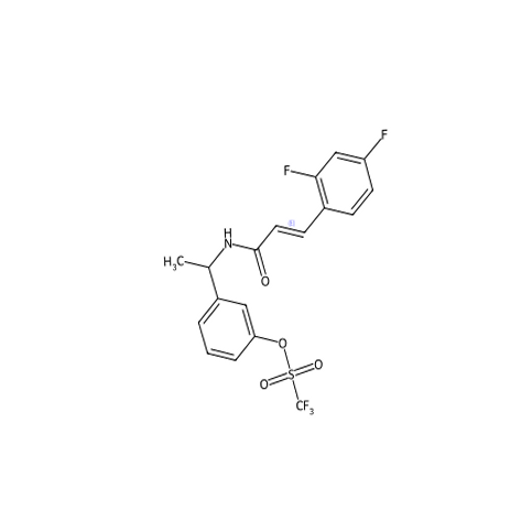 CC(NC(=O)/C=C/c1ccc(F)cc1F)c1cccc(OS(=O)(=O)C(F)(F)F)c1